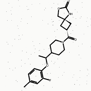 Cc1ccc(OC(C)C2CCN(C(=O)[C@H]3C[C@]4(COC(=O)N4)C3)CC2)c(F)c1